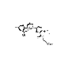 CCCCCCCCCCCCOC(=O)c1cc(N2CN=C[N+](CCO)(c3ccc(C)cc3)C2)ccc1[N+](=O)[O-]